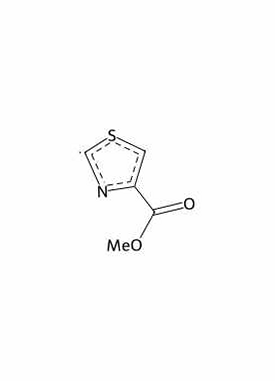 COC(=O)c1cs[c]n1